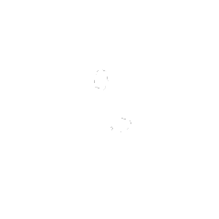 Oc1ccc([C@H]2Oc3c(ccc(O)c3O)[C@@H](O)[C@H]2O)cc1